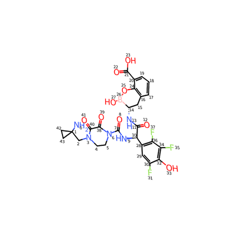 NC1(CN2CCN(C(=O)N[C@@H](C(=O)N[C@H]3Cc4cccc(C(=O)O)c4OB3O)c3cc(F)c(O)c(F)c3F)C(=O)C2=O)CC1